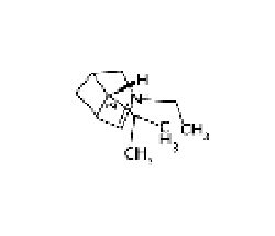 CC[N+]1=CC2CC(C1)[C@@H]2C(C)C